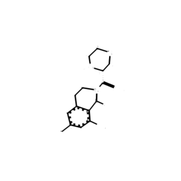 CC1c2c(Cl)cc(Cl)cc2CCN1C(=O)[C@H]1CNCCO1